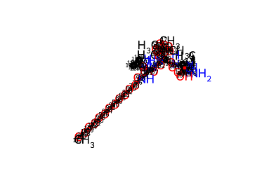 CCCCc1nc2c(N)nc3cc(C(=O)O)ccc3c2n1Cc1ccc(CNC(=O)OCc2ccc(O[C@@H]3O[C@H](C(=O)OC)[C@@H](OC(C)=O)[C@H](OC(C)=O)[C@H]3OC(C)=O)c(NC(=O)CCNC(=O)[C@H](CCCCNC(=O)CCOCCOCCOCCOCCOCCOCCOCCOCCOCCOCCOCCOC)NC(=O)OCC3c4ccccc4-c4ccccc43)c2)cc1